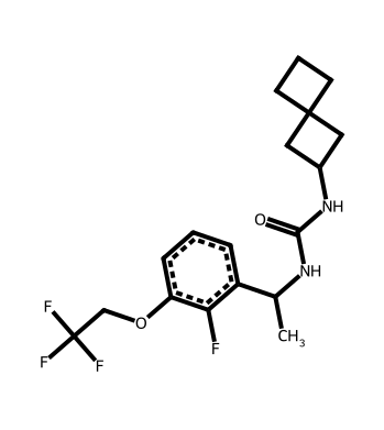 CC(NC(=O)NC1CC2(CCC2)C1)c1cccc(OCC(F)(F)F)c1F